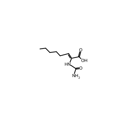 CCCCC/C=C(\NC(N)=O)C(=O)O